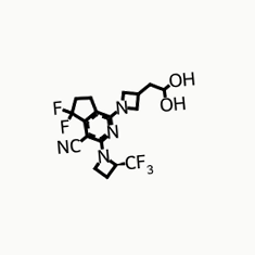 N#Cc1c(N2CC[C@@H]2C(F)(F)F)nc(N2CC(CC(O)O)C2)c2c1C(F)(F)CC2